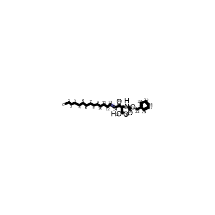 CCCCCCCCCCCCC/C=C/C(=O)C(NC(=O)OCc1ccccc1)C(=O)O